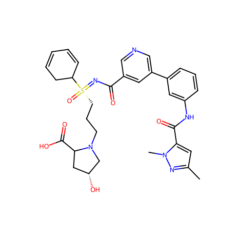 Cc1cc(C(=O)Nc2cccc(-c3cncc(C(=O)N=[S@](=O)(CCCN4C[C@H](O)CC4C(=O)O)C4C=CC=CC4)c3)c2)n(C)n1